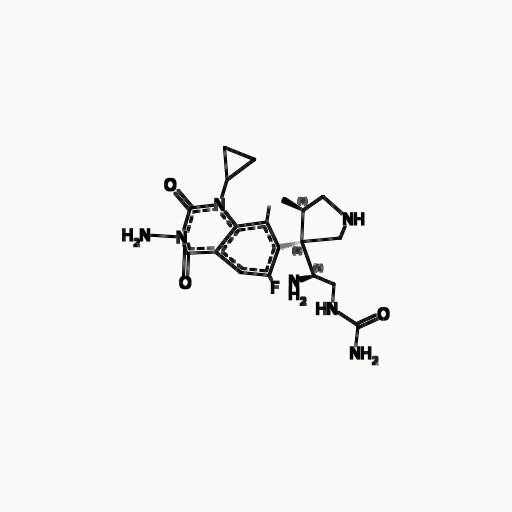 Cc1c([C@@]2([C@H](N)CNC(N)=O)CNC[C@@H]2C)c(F)cc2c(=O)n(N)c(=O)n(C3CC3)c12